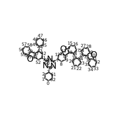 c1ccc(-c2nc(-c3ccc4c(c3)oc3cccc(-c5ccccc5-c5cccc6oc7ccccc7c56)c34)nc(-c3cc(-c4ccccc4)c4c(c3)oc3ccccc34)n2)cc1